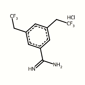 Cl.N=C(N)c1cc(CC(F)(F)F)cc(CC(F)(F)F)c1